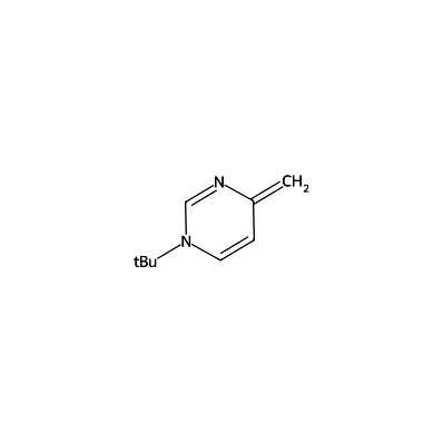 C=C1C=CN(C(C)(C)C)C=N1